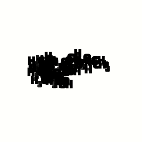 CC[C@H](C)[C@H](NC(=O)[C@H]1CCCCN1C)C(=O)N(C)C(C[C@@H](OC(C)=O)c1nc(C(=O)N[C@@H](Cc2ccc(O)c(NC(=O)C(C)COC(C)(C)CCNC(=O)C#CC(=O)NCCC(C)C)c2)CC(C)C(=O)O)cs1)C(C)C